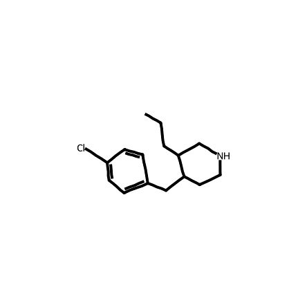 CCCC1CNCCC1Cc1ccc(Cl)cc1